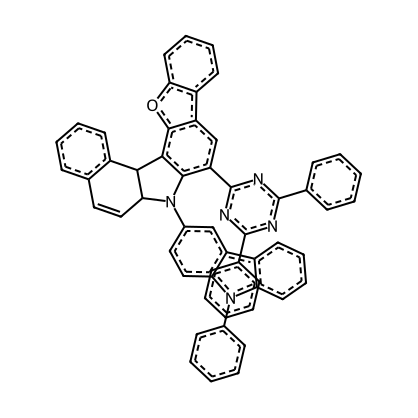 C1=CC2C(c3ccccc31)c1c(c(-c3nc(-c4ccccc4)nc(-c4ccccc4)n3)cc3c1oc1ccccc13)N2c1ccc2c(c1)c1ccccc1n2-c1ccccc1